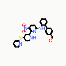 O=Cc1ccc(-c2ccccc2Nc2ccc([N+](=O)[O-])c(C3CC(Sc4ccccn4)CCN3)n2)cc1